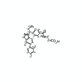 Cc1ccc(-c2ccc3c(cnn3C(CC(C)C)c3ccc(C(=O)NCCC(=O)O)cc3)c2C)c(C)c1